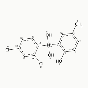 Cc1ccc(O)c([N+](O)(O)c2ccc(Cl)cc2Cl)c1